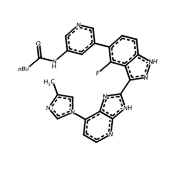 CCCCC(=O)Nc1cncc(-c2ccc3[nH]nc(-c4nc5c(-n6cnc(C)c6)ccnc5[nH]4)c3c2F)c1